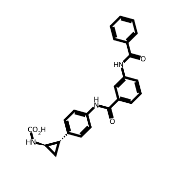 O=C(O)N[C@@H]1C[C@H]1c1ccc(NC(=O)c2cccc(NC(=O)c3ccccc3)c2)cc1